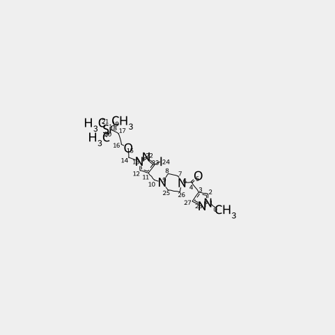 Cn1cc(C(=O)N2CCN(Cc3cn(COCC[Si](C)(C)C)nc3I)CC2)cn1